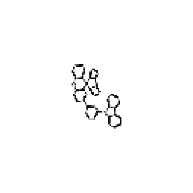 c1cc(-c2ccc3c(c2)C2(c4ccccc4O3)c3ccccc3-c3ccccc32)cc(-n2c3ccccc3c3ccccc32)c1